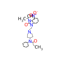 C=C(C)n1c(=O)n(CCN2CCC(N(C(=O)CC)c3ccccc3)CC2)c2cccc([N+](=O)[O-])c21